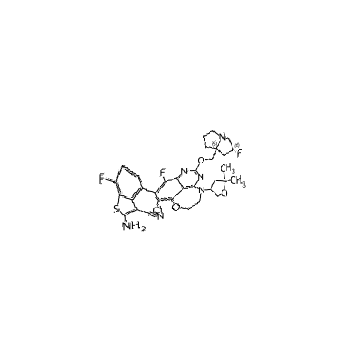 CC1(C)CC(N2CCOc3c(Cl)c(-c4ccc(F)c5sc(N)c(C#N)c45)c(F)c4nc(OC[C@@]56CCCN5C[C@H](F)C6)nc2c34)CO1